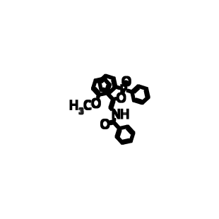 COc1ccccc1C(=CNC(=O)c1ccccc1)OP(=O)(c1ccccc1)c1ccccc1